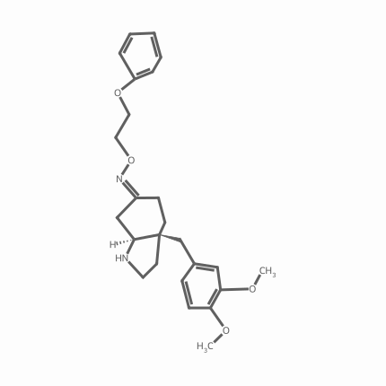 COc1ccc(C[C@@]23CCN[C@H]2CC(=NOCCOc2ccccc2)CC3)cc1OC